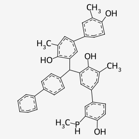 CPc1cc(-c2cc(C)c(O)c(C(c3ccc(-c4ccccc4)cc3)c3cc(-c4ccc(O)c(C)c4)cc(C)c3O)c2)ccc1O